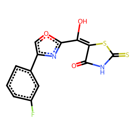 O=C1NC(=S)SC1=C(O)c1nc(-c2cccc(F)c2)co1